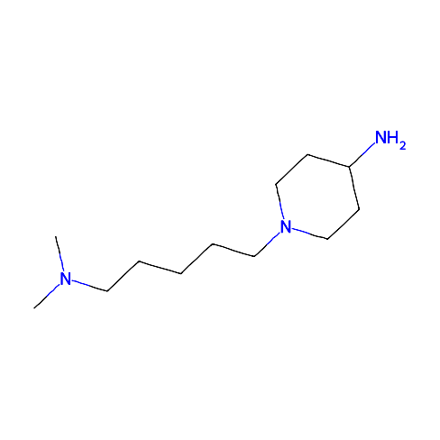 CN(C)CCCCCN1CCC(N)CC1